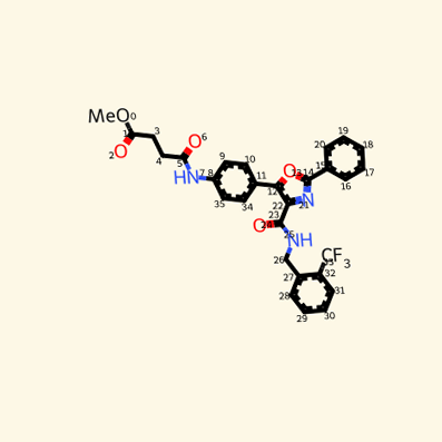 COC(=O)CCC(=O)Nc1ccc(-c2oc(-c3ccccc3)nc2C(=O)NCc2ccccc2C(F)(F)F)cc1